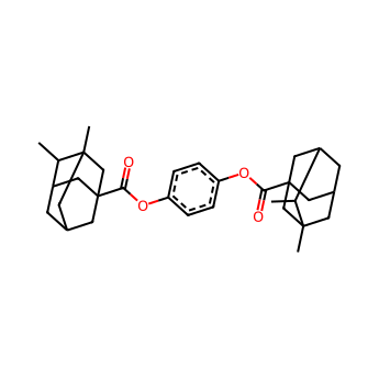 CC1C2CC3CC(C(=O)Oc4ccc(OC(=O)C56CC7CC(C5)C(C)C(C)(C7)C6)cc4)(C2)CC1(C)C3